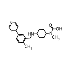 Cc1ccc(-c2ccncc2)cc1CNC1CCC(N(C)C(=O)O)CC1